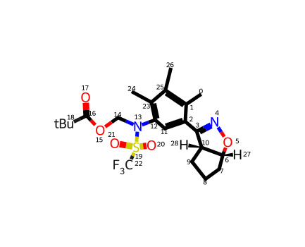 Cc1c(C2=NO[C@@H]3CCC[C@H]23)cc(N(COC(=O)C(C)(C)C)S(=O)(=O)C(F)(F)F)c(C)c1C